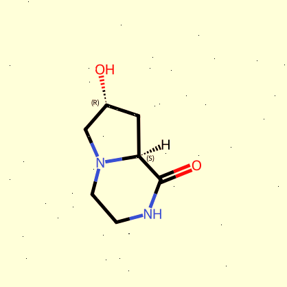 O=C1NCCN2C[C@H](O)C[C@@H]12